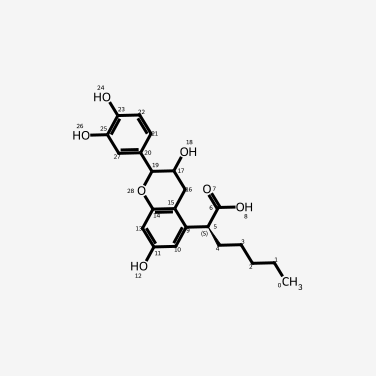 CCCCC[C@H](C(=O)O)c1cc(O)cc2c1CC(O)C(c1ccc(O)c(O)c1)O2